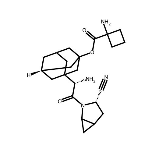 N#C[C@@H]1CC2CC2N1C(=O)[C@@H](N)C12CC3C[C@H](CC(OC(=O)C4(N)CCC4)(C3)C1)C2